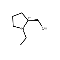 OC[C@@H]1CCCN1CI